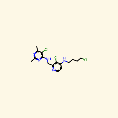 Cc1nc(C)c(Cl)c(NCc2nccc(NCCCCCl)c2Cl)n1